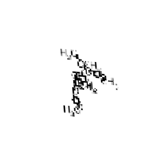 C=C(/C=C/COCc1ccc(OC)cc1)[C@]1(OC)OC(C[C@@H](OCc2ccc(OC)cc2)[C@@H](C)OCCCC)CCC1=C